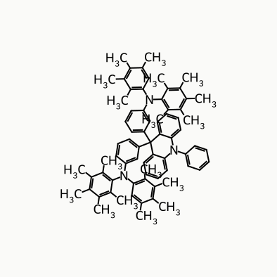 Cc1cc(N(c2cccc(C3(c4cccc(N(c5cc(C)c(C)c(C)c5C)c5c(C)c(C)c(C)c(C)c5C)c4)c4ccccc4N(c4ccccc4)c4ccccc43)c2)c2c(C)c(C)c(C)c(C)c2C)c(C)c(C)c1C